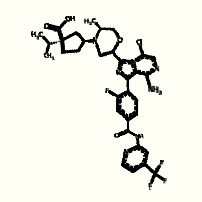 CC(C)[C@@]1(C(=O)O)CC[C@H](N2C[C@H](c3nc(-c4ccc(C(=O)Nc5cc(C(F)(F)F)ccn5)cc4F)c4c(N)ncc(Cl)n34)OC[C@@H]2C)C1